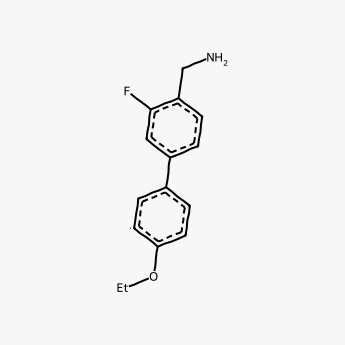 CCOc1[c]cc(-c2ccc(CN)c(F)c2)cc1